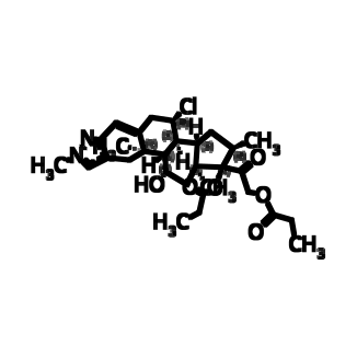 CCC(=O)OCC(=O)[C@@]1(OC(=O)CC)[C@H](C)C[C@H]2[C@H]3[C@H]([C@@H](O)C[C@@]21C)[C@@]1(C)Cc2cn(C)nc2C=C1C[C@H]3Cl